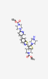 CC(C)(C)OC(=O)N1CCN(c2ccc(-c3ccc4nc(-c5c(N6CCNCC6)sc6c5CCN(C(=O)OC(C)(C)C)C6)sc4c3)cn2)CC1